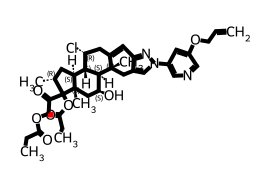 C=CCOc1cncc(-n2cc3c(n2)C=C2C[C@@H](Cl)[C@@H]4[C@H]([C@@H](O)C[C@@]5(C)[C@H]4C[C@@H](C)C5(OC(=O)CC)C(=O)COC(=O)CC)[C@@]2(C)C3)c1